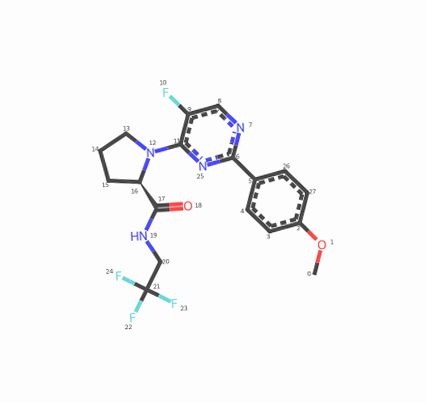 COc1ccc(-c2ncc(F)c(N3CCC[C@@H]3C(=O)NCC(F)(F)F)n2)cc1